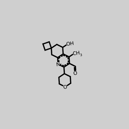 Cc1c(C=O)c(C2CCOCC2)nc2c1C(O)CC1(CCC1)C2